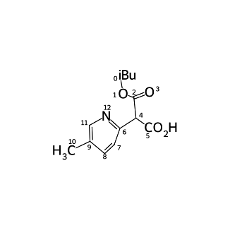 CCC(C)OC(=O)C(C(=O)O)c1ccc(C)cn1